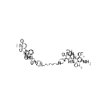 CC(Nc1ncnc2c1cc(N1CCN(CCCCCCCN3CCN(C(=O)CNc4cccc5c(C6CCC(=O)NC6=O)nn(C)c45)CC3)CC1)c(=O)n2C)c1cc(N)cc(C(F)(F)F)c1